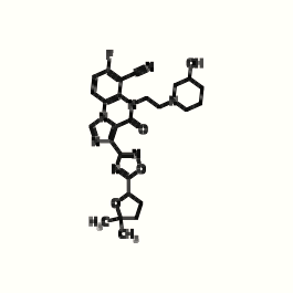 CC1(C)CCC(c2nc(-c3ncn4c3c(=O)n(CCN3CCCC(O)C3)c3c(C#N)c(F)ccc34)no2)O1